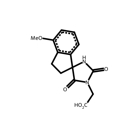 COc1cccc2c1CCC21NC(=O)N(CC(=O)O)C1=O